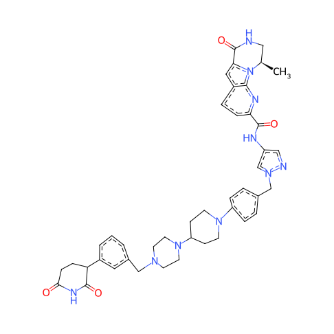 C[C@@H]1CNC(=O)c2cc3ccc(C(=O)Nc4cnn(Cc5ccc(N6CCC(N7CCN(Cc8cccc(C9CCC(=O)NC9=O)c8)CC7)CC6)cc5)c4)nc3n21